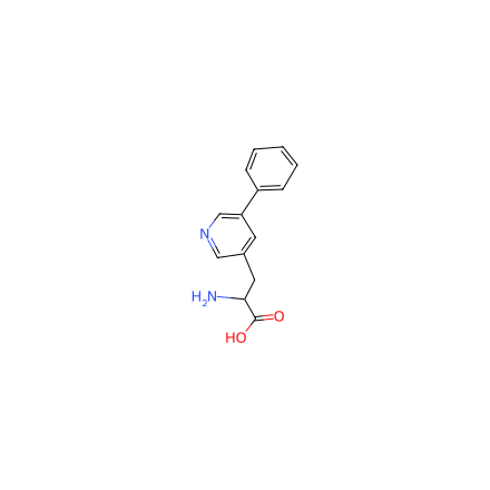 NC(Cc1cncc(-c2ccccc2)c1)C(=O)O